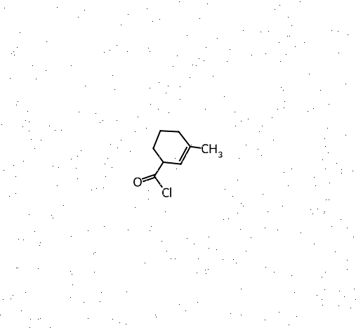 CC1=CC(C(=O)Cl)CCC1